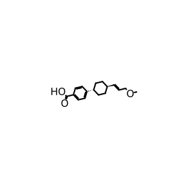 COCC=C[C@H]1CC[C@H](c2ccc(C(=O)O)cc2)CC1